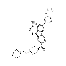 COc1cccc(-c2cc(C(N)=O)c3[nH]c4cc(C(=O)N5CCN(CCN6CCCCC6)CC5)ccc4c3c2)c1